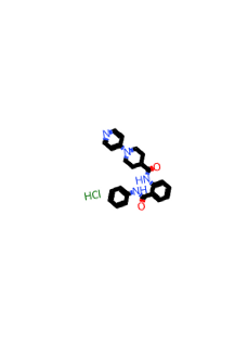 Cl.O=C(Nc1ccccc1)c1ccccc1NC(=O)C1CCN(c2ccncc2)CC1